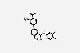 CC(=N)c1ccc(-c2ccc(C)c(C(=O)Nc3ccc(F)c(F)c3)n2)cc1N